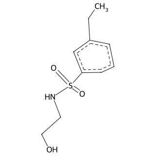 CCc1cccc(S(=O)(=O)NCCO)c1